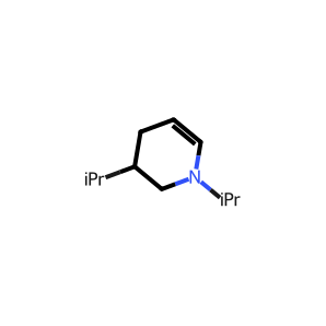 CC(C)C1CC=CN(C(C)C)C1